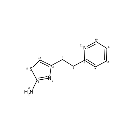 Nc1nc(CCc2ccccn2)cs1